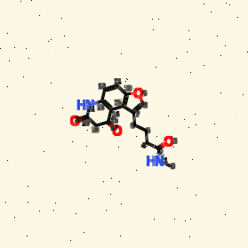 CNC(=O)CCCc1coc2ccc3c(c12)C(=O)CC(=O)N3